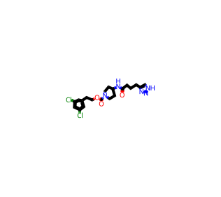 O=C(CCCc1c[nH]nn1)NC1CCN(C(=O)OCCc2cc(Cl)cc(Cl)c2)CC1